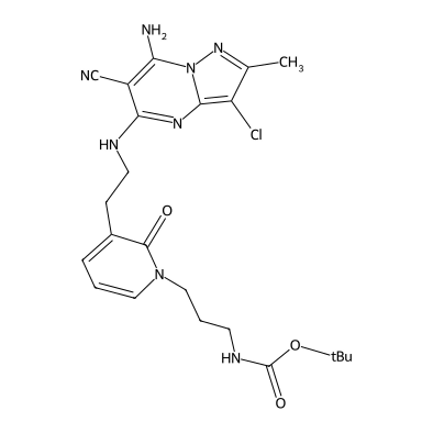 Cc1nn2c(N)c(C#N)c(NCCc3cccn(CCCNC(=O)OC(C)(C)C)c3=O)nc2c1Cl